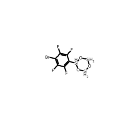 Fc1c(F)c([SiH]2O[SiH2]O[SiH2]O2)c(F)c(F)c1Br